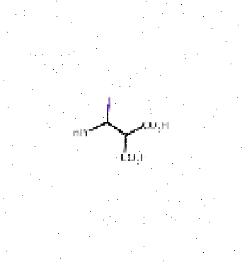 CCCC(I)C(C(=O)O)C(=O)O